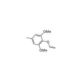 C=COc1c(OC)cc(C)cc1OC